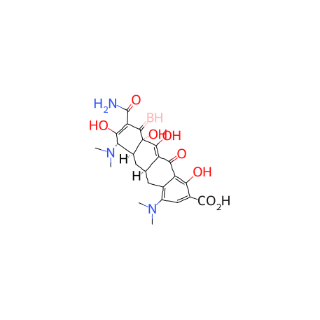 B=C1C(C(N)=O)=C(O)[C@@H](N(C)C)[C@@H]2C[C@@H]3Cc4c(N(C)C)cc(C(=O)O)c(O)c4C(=O)C3=C(O)[C@]12O